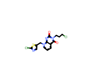 O=c1nc2n(Cc3cnc(Cl)s3)cccc-2c(=O)n1CCCCl